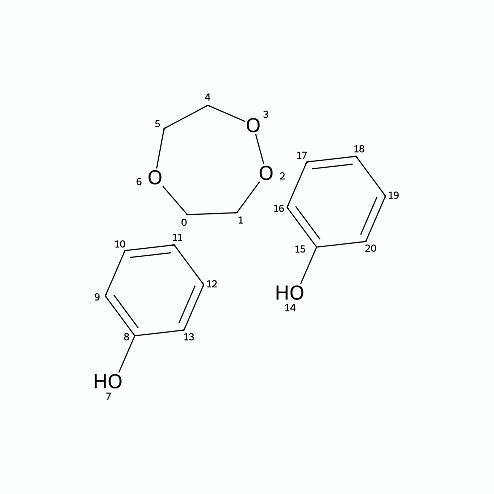 C1COOCCO1.Oc1ccccc1.Oc1ccccc1